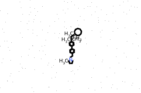 C[C@@H]1CCCN1CCc1ccc(-c2ccc(C(C)(C)CC(C)(C)C3CCCCCCCC3)cc2)cc1